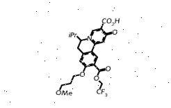 COCCCOc1cc2c(cc1C(=O)OCC(F)(F)F)-c1cc(=O)c(C(=O)O)cn1C(C(C)C)C2